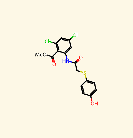 COC(=O)c1c(Cl)cc(Cl)cc1NC(=O)CSc1ccc(O)cc1